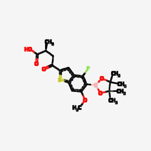 COc1cc2sc(C(=O)C[C@H](C)C(=O)O)cc2c(F)c1B1OC(C)(C)C(C)(C)O1